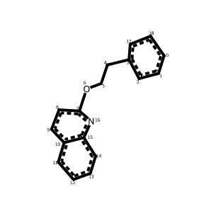 c1ccc(CCOc2ccc3ccccc3n2)cc1